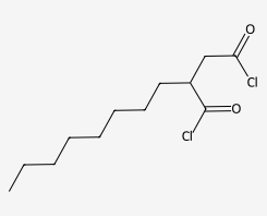 CCCCCCCCC(CC(=O)Cl)C(=O)Cl